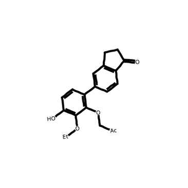 CCOc1c(O)ccc(-c2ccc3c(c2)CCC3=O)c1OCC(C)=O